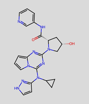 O=C(Nc1cccnc1)[C@@H]1C[C@H](O)CN1c1nc(N(c2cc[nH]n2)C2CC2)n2cccc2n1